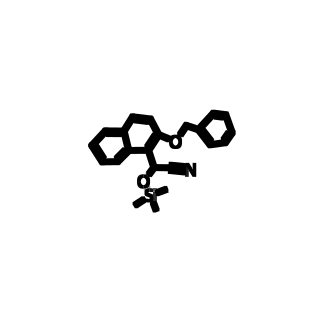 C[Si](C)(C)OC(C#N)c1c(OCc2ccccc2)ccc2ccccc12